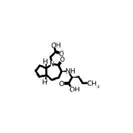 CCC[C@H](N[C@H]1CC[C@@H]2CCC[C@@H]2N(CC(=O)O)C1=O)C(=O)O